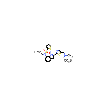 CCCC(C)CN(c1cccc2cc(-c3ncc(CN(C)CC(=O)OCC)s3)[nH]c12)S(=O)(=O)c1cccs1